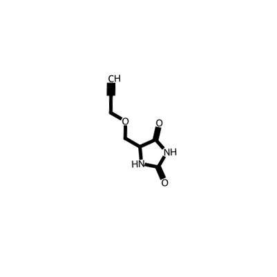 C#CCOCC1NC(=O)NC1=O